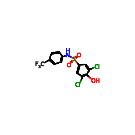 O=S(=O)(Nc1ccc(C(F)(F)F)cc1)c1cc(Cl)c(O)c(Cl)c1